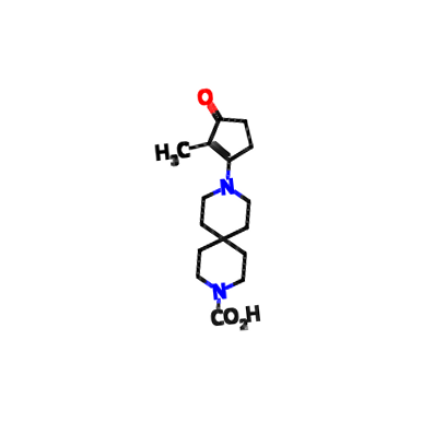 CC1=C(N2CCC3(CCN(C(=O)O)CC3)CC2)CCC1=O